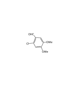 COc1cc(Cl)c(C=O)cc1OC